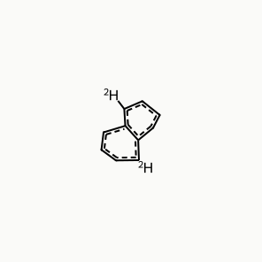 [2H]c1cccc2c([2H])cccc12